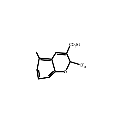 CCOC(=O)C1=Cc2c(C)cccc2OC1C(F)(F)F